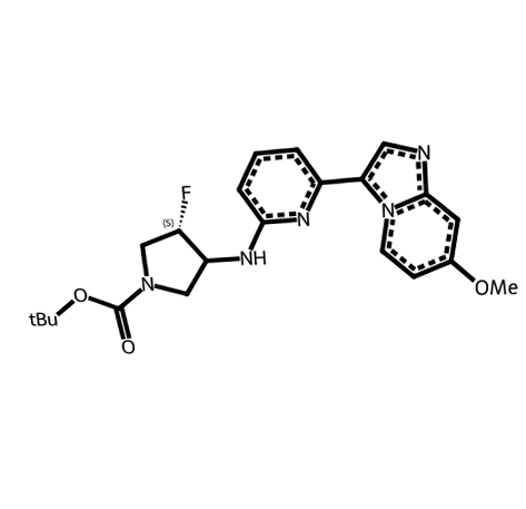 COc1ccn2c(-c3cccc(NC4CN(C(=O)OC(C)(C)C)C[C@@H]4F)n3)cnc2c1